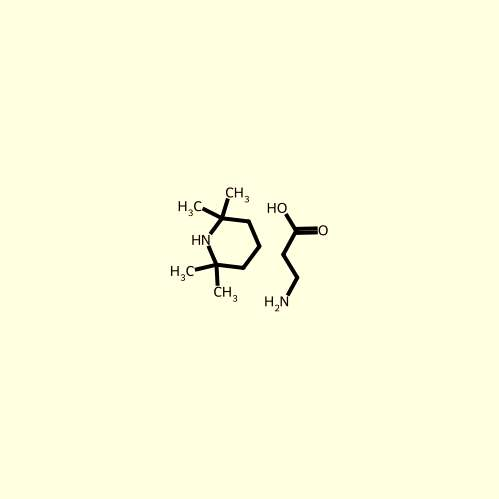 CC1(C)CCCC(C)(C)N1.NCCC(=O)O